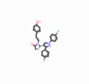 O=C1CS[C@H](c2cn(-c3ccc(F)cc3)nc2-c2ccc(F)cc2)N1CCc1ccc(O)cc1